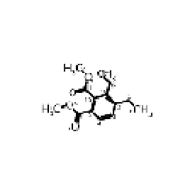 CCc1ccc(C(=O)OC)c(C(=O)OC)c1CC